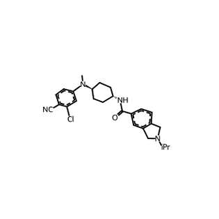 CC(C)N1Cc2ccc(C(=O)N[C@H]3CC[C@H](N(C)c4ccc(C#N)c(Cl)c4)CC3)cc2C1